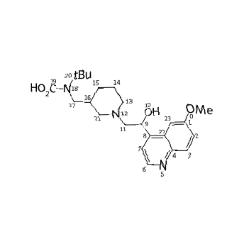 COc1ccc2nccc(C(O)CN3CCCC(CN(C(=O)O)C(C)(C)C)C3)c2c1